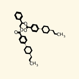 CCC[C@H]1CC[C@H](c2ccc(C(=O)OCC(OC(=O)c3ccc([C@H]4CC[C@H](CCC)CC4)cc3)c3ccccc3)cc2)CC1